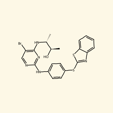 C[C@@H](O)[C@@H](C)Nc1nc(Nc2ccc(Sc3nc4ccccc4s3)cc2)ncc1Br